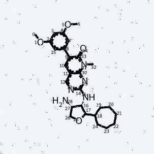 COc1cc(OC)cc(-c2cc3cnc(N[C@@H]4C(C5CCCCCC5)OC[C@@H]4N)nc3n(C)c2=O)c1